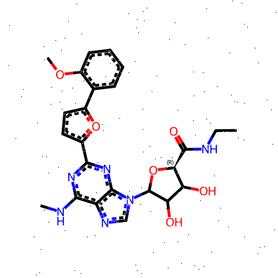 CCNC(=O)[C@@H]1OC(n2cnc3c(NC)nc(-c4ccc(-c5ccccc5OC)o4)nc32)C(O)C1O